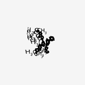 Cc1c(-c2ccc3c(c2)C(C)(C)c2cc(C(C)(C)C)ccc2-3)cc(N(c2ccc(-c3ccccc3)cc2)c2ccc(-c3ccccc3)cc2)cc1-c1ccc2c(c1)C(C)(C)c1cc(C(C)(C)C)ccc1-2